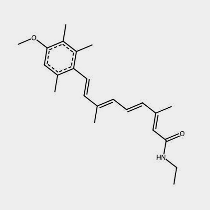 CCNC(=O)C=C(C)C=CC=C(C)C=Cc1c(C)cc(OC)c(C)c1C